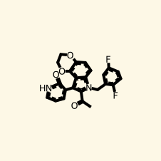 CC(=O)c1c(-c2ccc[nH]c2=O)c2c3c(ccc2n1Cc1cc(F)ccc1F)OCCO3